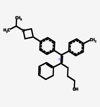 Cc1ccc(/C(=C(\CCCO)C2=CC=CCC2)c2ccc(C3CN(C(C)C)C3)cc2)cc1